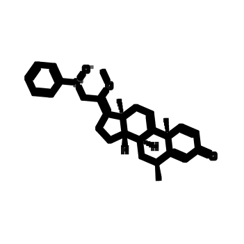 CO/C(C[S+]([O-])c1ccccc1)=C1/CC[C@H]2[C@@H]3C[C@H](C)C4=CC(=O)C=C[C@]4(C)C3=CC[C@]12C